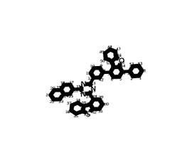 c1ccc(-c2ccc(-c3cccc(-c4nc(-c5ccc6ccccc6c5)nc(-c5cccc6sc7ccccc7c56)n4)c3)c3c2oc2ccccc23)cc1